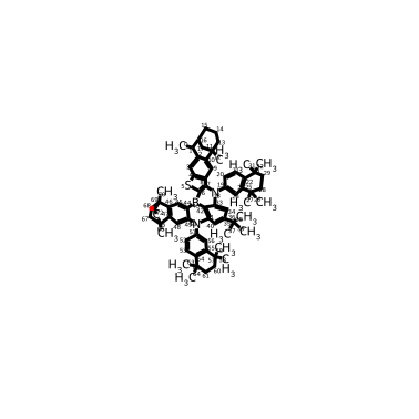 CC1c2cc3sc4c(c3cc2C2(C)CCCC1C2)N(c1ccc2c(c1)C(C)(C)CCC2(C)C)c1cc(C(C)(C)C)cc2c1B4c1cc3c(cc1N2c1ccc2c(c1)C(C)(C)CCC2(C)C)C1(C)CCC3(C)CC1